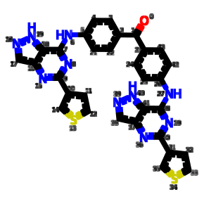 O=C(c1ccc(Nc2nc(-c3ccsc3)nc3cn[nH]c23)cc1)c1ccc(Nc2nc(-c3ccsc3)nc3cn[nH]c23)cc1